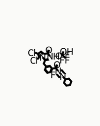 O=C(O)C(F)(F)F.O=C(c1cc(Cc2c[nH]c(=O)c3cc(Cl)c(Cl)n23)ccc1F)N1CCN(C2CCCCC2)CC1